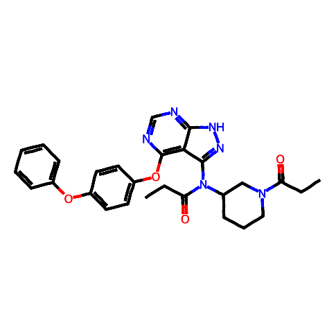 CCC(=O)N1CCCC(N(C(=O)CC)c2n[nH]c3ncnc(Oc4ccc(Oc5ccccc5)cc4)c23)C1